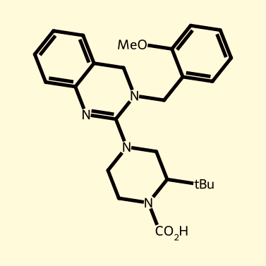 COc1ccccc1CN1Cc2ccccc2N=C1N1CCN(C(=O)O)C(C(C)(C)C)C1